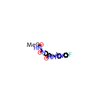 COC(=O)NCC(=O)N1CCC2(CC1)C[C@H](CCN1CCN(c3ccc(F)cc3)C[C@@H]1C)NC2=O